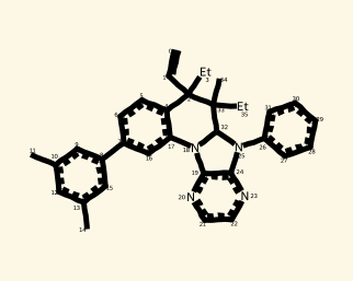 C=CC1(CC)c2ccc(-c3cc(C)cc(C)c3)cc2N2c3nccnc3N(c3ccccc3)C2C1(C)CC